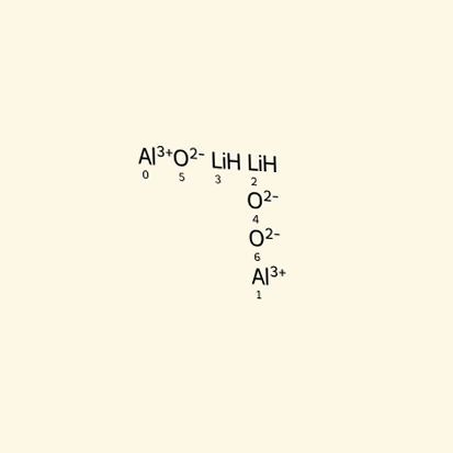 [Al+3].[Al+3].[LiH].[LiH].[O-2].[O-2].[O-2]